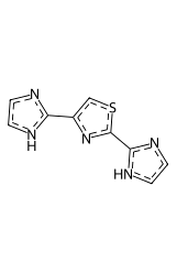 c1c[nH]c(-c2csc(-c3ncc[nH]3)n2)n1